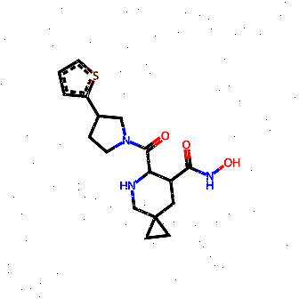 O=C(NO)C1CC2(CC2)CNC1C(=O)N1CCC(c2cccs2)C1